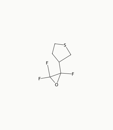 FC1(F)OC1(F)C1CCSC1